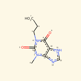 Cn1c(=O)n(CCC(=O)O)c(=O)c2[nH]cnc21